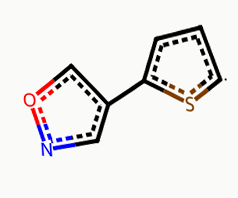 [c]1ccc(-c2cnoc2)s1